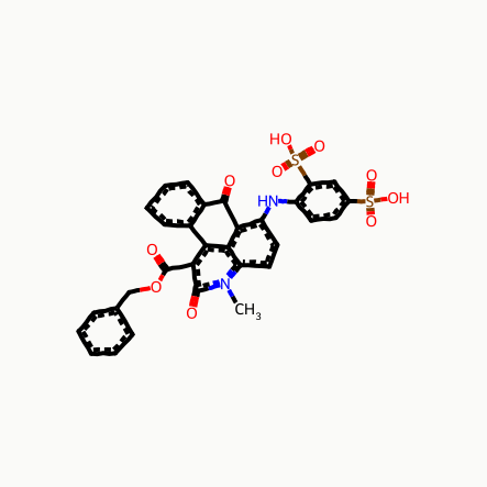 Cn1c(=O)c(C(=O)OCc2ccccc2)c2c3c(c(Nc4ccc(S(=O)(=O)O)cc4S(=O)(=O)O)ccc31)C(=O)c1ccccc1-2